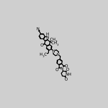 CCc1cc2c(cc1N1CCN(Cc3ccc4c(c3)C(=O)N(C3CCC(=O)NC3=O)C4=O)CC1)C(C)(C)c1[nH]c3cc(C#N)ccc3c1C2=O